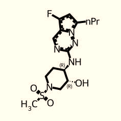 CCCc1cc(F)c2cnc(N[C@@H]3CCN(S(C)(=O)=O)C[C@H]3O)nn12